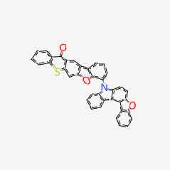 O=c1c2ccccc2sc2cc3oc4c(-n5c6ccccc6c6c7c(ccc65)oc5ccccc57)cccc4c3cc12